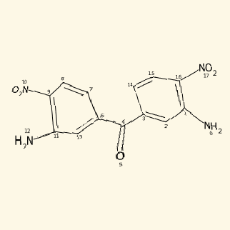 Nc1cc(C(=O)c2ccc([N+](=O)[O-])c(N)c2)ccc1[N+](=O)[O-]